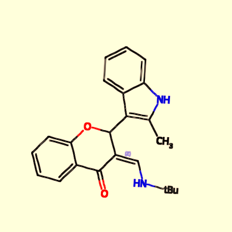 Cc1[nH]c2ccccc2c1C1Oc2ccccc2C(=O)/C1=C\NC(C)(C)C